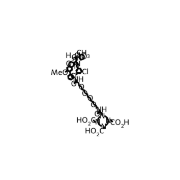 COc1cc2c(cc1-c1cccc(NC(=O)CCOCCOCCOCCOCCNC(=O)CN3CCN(CC(=O)O)CCN(CC(=O)O)CCN(CC(=O)O)CC3)c1)-c1c(c(C(=O)N3CCOCC3(C)C)nn1-c1cc(Cl)cc(Cl)c1)CO2